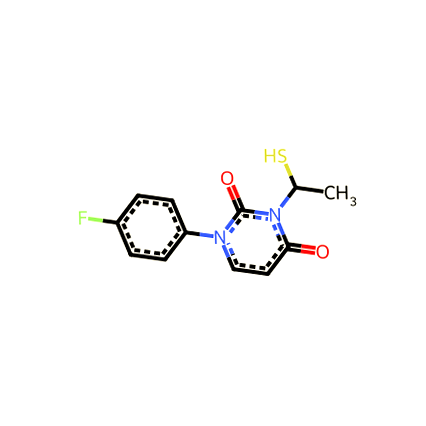 CC(S)n1c(=O)ccn(-c2ccc(F)cc2)c1=O